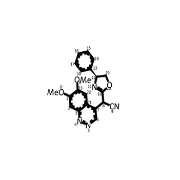 COc1cc2nncc(C(C#N)C3=N[C@@H](c4ccccc4)CO3)c2cc1OC